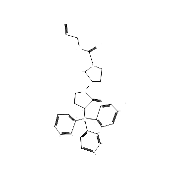 C=CCOC(=O)N1CC[C@@H](N2CCC([P+](c3ccccc3)(c3ccccc3)c3ccccc3)C2=O)C1.[Br-]